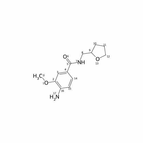 COc1cc(C(=O)NCC2CCCO2)ccc1N